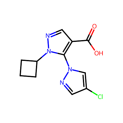 O=C(O)c1cnn(C2CCC2)c1-n1cc(Cl)cn1